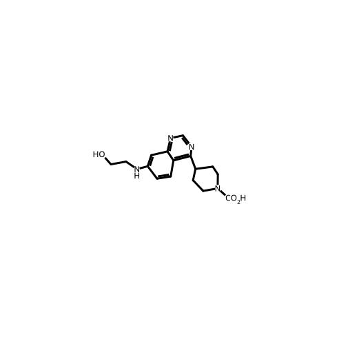 O=C(O)N1CCC(c2ncnc3cc(NCCO)ccc23)CC1